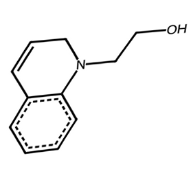 OCCN1CC=Cc2ccccc21